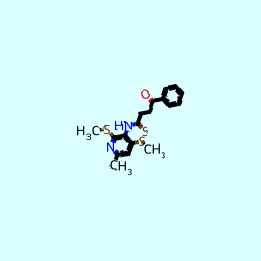 CSc1cc(C)nc(SC)c1NC(=S)CCC(=O)c1ccccc1